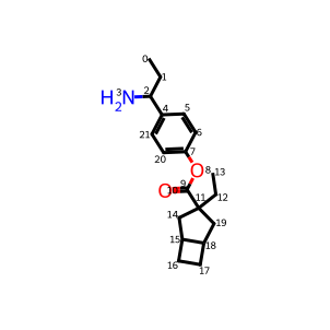 CCC(N)c1ccc(OC(=O)C2(CC)CC3CCC3C2)cc1